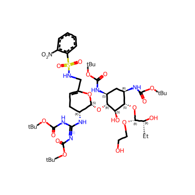 CC[C@@H](O)[C@H](OCCO)O[C@@H]1[C@@H](O)[C@H](O[C@H]2OC(CNS(=O)(=O)c3ccccc3[N+](=O)[O-])=CC[C@H]2N/C(=N/C(=O)OC(C)(C)C)NC(=O)OC(C)(C)C)[C@@H](NC(=O)OC(C)(C)C)C[C@H]1NC(=O)OC(C)(C)C